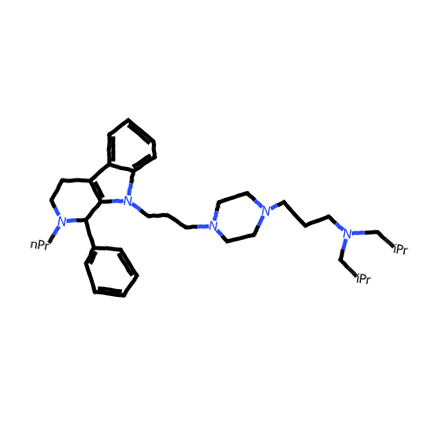 CCCN1CCc2c(n(CCCN3CCN(CCCN(CC(C)C)CC(C)C)CC3)c3ccccc23)C1c1ccccc1